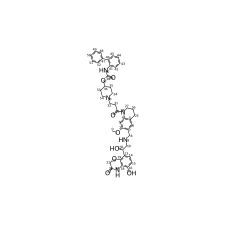 COc1cc2c(cc1CNC[C@H](O)c1ccc(O)c3c1OCC(=O)N3)CCCN2C(=O)CCN1CCC(OC(=O)Nc2ccccc2-c2ccccc2)CC1